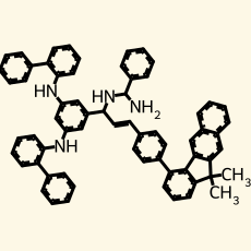 CC1(C)c2cc3ccccc3cc2-c2c(-c3ccc(/C=C/C(NC(N)c4ccccc4)c4cc(Nc5ccccc5-c5ccccc5)cc(Nc5ccccc5-c5ccccc5)c4)cc3)cccc21